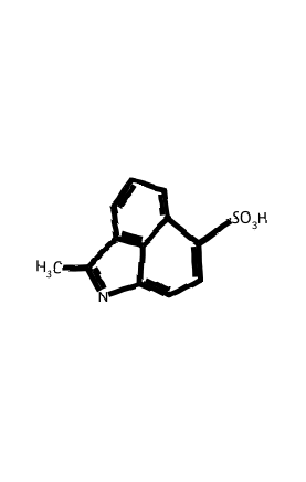 CC1=Nc2ccc(S(=O)(=O)O)c3cccc1c23